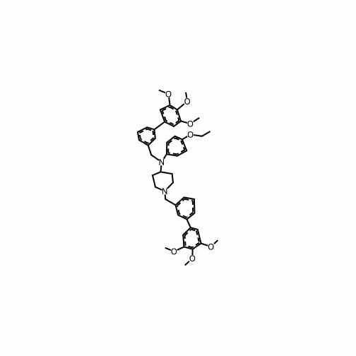 CCOc1ccc(N(Cc2cccc(-c3cc(OC)c(OC)c(OC)c3)c2)C2CCN(Cc3cccc(-c4cc(OC)c(OC)c(OC)c4)c3)CC2)cc1